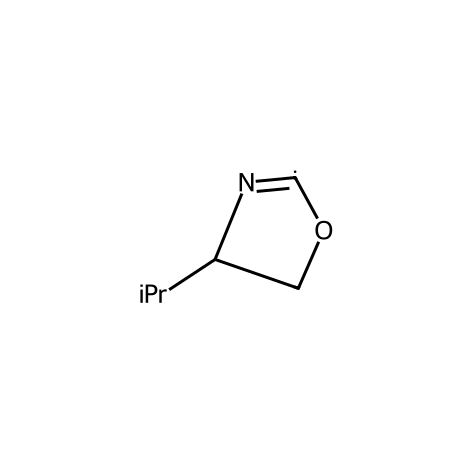 CC(C)C1CO[C]=N1